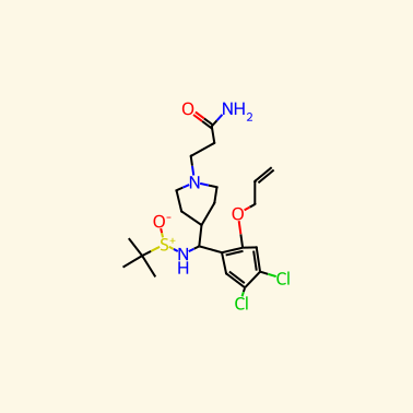 C=CCOc1cc(Cl)c(Cl)cc1C(N[S+]([O-])C(C)(C)C)C1CCN(CCC(N)=O)CC1